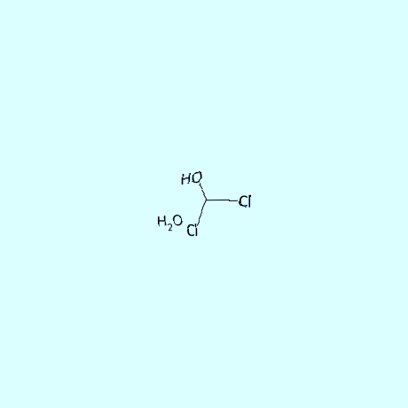 O.OC(Cl)Cl